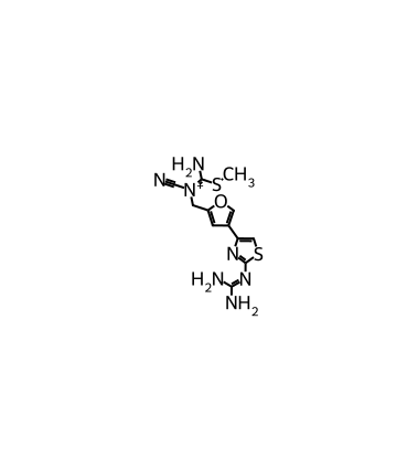 CSC(N)=[N+](C#N)Cc1cc(-c2csc(N=C(N)N)n2)co1